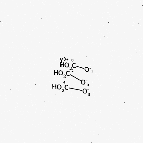 O=C([O-])O.O=C([O-])O.O=C([O-])O.[Y+3]